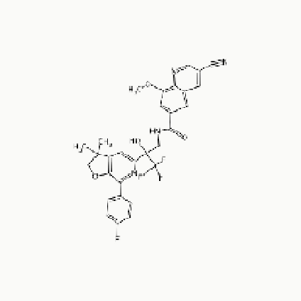 COc1cc(C(=O)NCC(O)(c2cc3c(c(-c4ccc(F)cc4)n2)OCC3(C)C)C(F)(F)F)cc2cc(C#N)cnc12